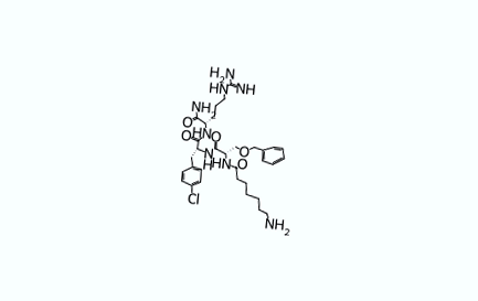 N=C(N)NCCC[C@H](NC(=O)[C@@H](Cc1ccc(Cl)cc1)NC(=O)[C@H](COCc1ccccc1)NC(=O)CCCCCCN)C(N)=O